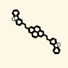 c1ccc2c(c1)oc1ccc(CCc3cc4ccc5cc(CCc6ccc7oc8ccccc8c7c6)cc6ccc(c3)c4c56)cc12